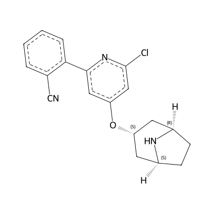 N#Cc1ccccc1-c1cc(O[C@@H]2C[C@H]3CC[C@@H](C2)N3)cc(Cl)n1